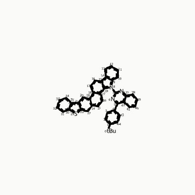 CC(C)(C)c1ccc(-c2nc(-n3c4ccccc4c4ccc5c6cc7c(cc6ccc5c43)sc3ccccc37)nc3ccccc23)cc1